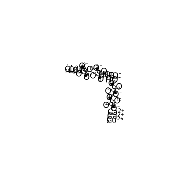 O=S(=O)([O-])[O-].O=S(=O)([O-])[O-].O=S(=O)([O-])[O-].O=S(=O)([O-])[O-].[Ca+2].[Ca+2].[Ca+2].[Cu+2].[Cu+2].[Cu+2].[OH-].[OH-].[OH-].[OH-]